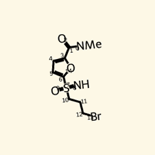 CNC(=O)c1ccc(S(=N)(=O)CCCBr)o1